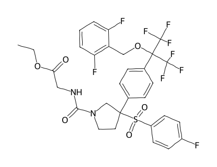 CCOC(=O)CNC(=O)N1CCC(c2ccc(C(OCc3c(F)cccc3F)(C(F)(F)F)C(F)(F)F)cc2)(S(=O)(=O)c2ccc(F)cc2)C1